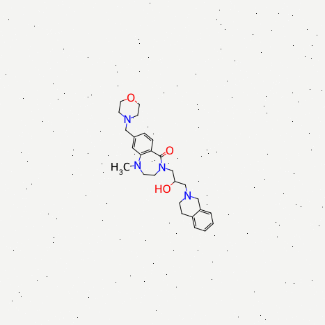 CN1CCN(CC(O)CN2CCc3ccccc3C2)C(=O)c2ccc(CN3CCOCC3)cc21